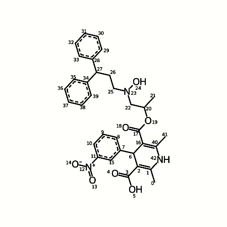 CC1=C(C(=O)O)C(c2cccc([N+](=O)[O-])c2)C(C(=O)OC(C)CN(O)CCC(c2ccccc2)c2ccccc2)=C(C)N1